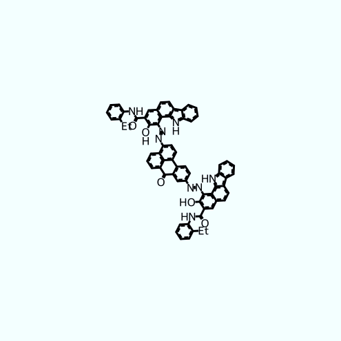 CCc1ccccc1NC(=O)c1cc2ccc3c4ccccc4[nH]c3c2c(N=Nc2ccc3c(c2)C(=O)c2cccc4c(N=Nc5c(O)c(C(=O)Nc6ccccc6CC)cc6ccc7c8ccccc8[nH]c7c56)ccc-3c24)c1O